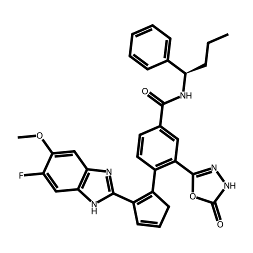 CCC[C@@H](NC(=O)c1ccc(C2=C(c3nc4cc(OC)c(F)cc4[nH]3)C=CC2)c(-c2n[nH]c(=O)o2)c1)c1ccccc1